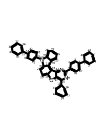 c1ccc(-c2ccc(-c3nc(-c4ccccc4)c4oc5ccc6c(c7ccccc7n6-c6ccc(-c7ccccc7)cc6)c5c4n3)cc2)cc1